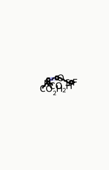 O=C(O)CCCn1cc(CC(=O)O)c2c(/C=C/c3ccc(OCCCCSc4ccc(F)cc4)cc3)cccc21